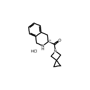 Cl.O=C([C@@H]1Cc2ccccc2CN1)N1CC2(CC2)C1